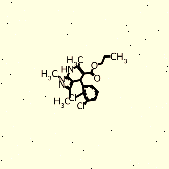 CCCOC(=O)C1=C(C)Nc2c(c(CC)nn2C)C1c1cccc(Cl)c1Cl